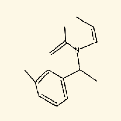 C=C(C)N(/C=C\C)C(C)c1cccc(C)c1